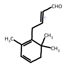 CC1=C(C/C=C/C=O)C(C)(C)CC=C1